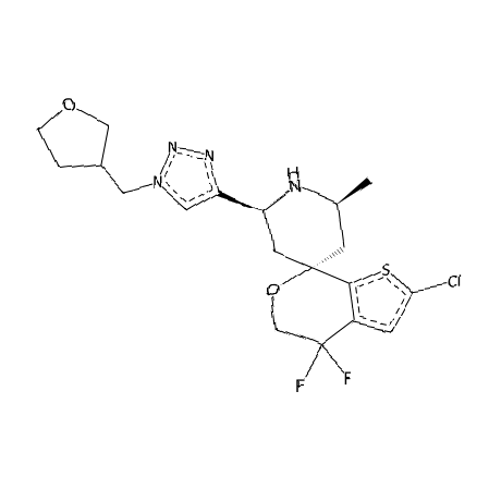 C[C@H]1C[C@@]2(C[C@@H](c3cn(CC4CCOC4)nn3)N1)OCC(F)(F)c1cc(Cl)sc12